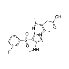 CNc1nn2c(C)c(CC(=O)O)c(C)nc2c1S(=O)(=O)c1cccc(F)c1